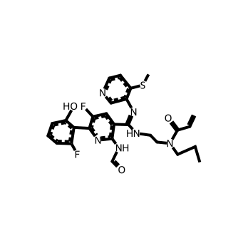 C=CC(=O)N(CCC)CCN/C(=N/c1cnccc1SC)c1cc(F)c(-c2c(O)cccc2F)nc1NC=O